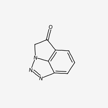 O=C1Cn2nnc3cccc1c32